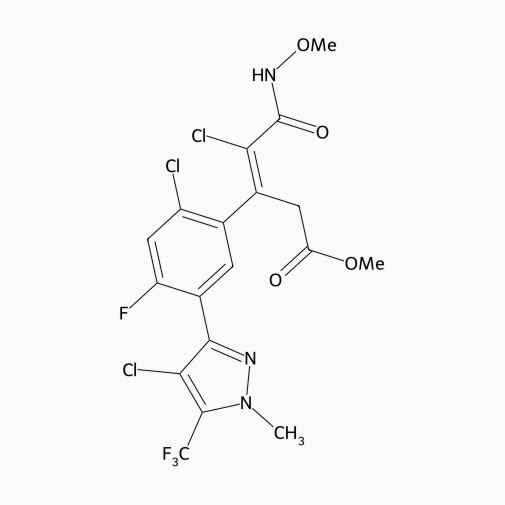 CONC(=O)C(Cl)=C(CC(=O)OC)c1cc(-c2nn(C)c(C(F)(F)F)c2Cl)c(F)cc1Cl